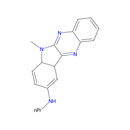 CCCNC1=CC2c3nc4ccccc4nc3N(C)C2C=C1